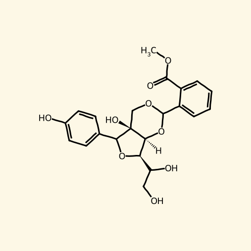 COC(=O)c1ccccc1C1OC[C@@]2(O)C(c3ccc(O)cc3)O[C@H](C(O)CO)[C@@H]2O1